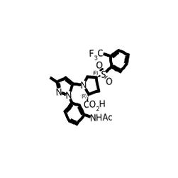 CC(=O)Nc1cccc(-n2nc(C)cc2N2C[C@H](S(=O)(=O)c3ccccc3C(F)(F)F)C[C@@H]2C(=O)O)c1